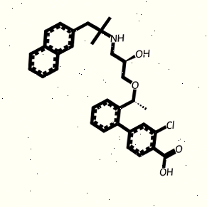 C[C@@H](OC[C@H](O)CNC(C)(C)Cc1ccc2ccccc2c1)c1ccccc1-c1ccc(C(=O)O)c(Cl)c1